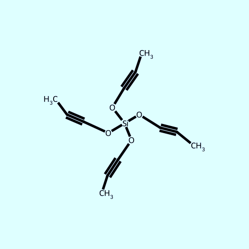 CC#CO[Si](OC#CC)(OC#CC)OC#CC